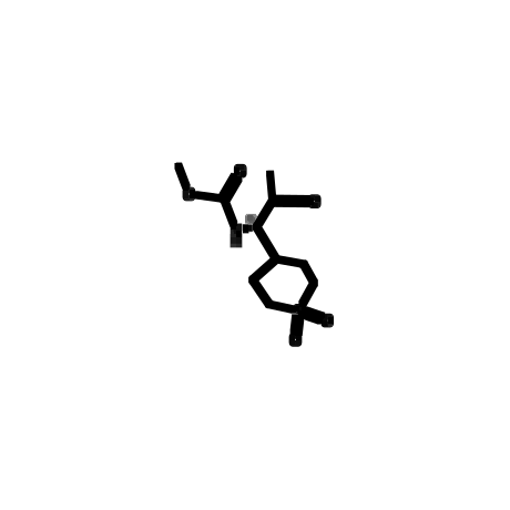 COC(=O)N[C@H](C(C)=O)C1CCS(=O)(=O)CC1